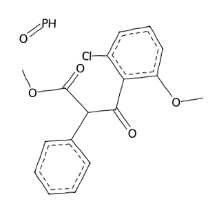 COC(=O)C(C(=O)c1c(Cl)cccc1OC)c1ccccc1.O=P